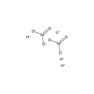 O=[Se]([O-])[O-].O=[Se]([O-])[O-].[H+].[H+].[H+].[Li+]